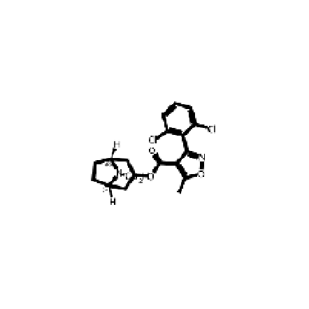 Cc1onc(-c2c(Cl)cccc2Cl)c1C(=O)OC1C[C@H]2CC[C@@H](C1)N2C(=O)O